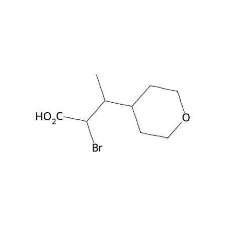 CC(C1CCOCC1)C(Br)C(=O)O